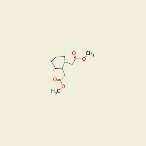 COC(=O)CC1CCCCC1CC(=O)OC